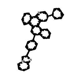 c1ccc(-c2cnc3c4ccccc4c4cc(-c5ccc(-c6cn7ccccc7n6)cc5)c5ccccc5c4c3c2)cc1